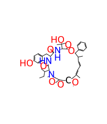 CCC(C)C1C(=O)NC(Cc2ccc(O)cc2)C(=O)NC(C(C)(C)O)C(=O)OC(c2ccccc2)C(C)/C=C/C=C(\C)C(OC)CC2OC2(C)C(=O)N1C